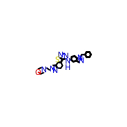 c1ccc(Cn2ncc3cc(Nc4ncnc5sc6c(c45)CCc4nn(CCN5CCOCC5)cc4-6)ccc32)cc1